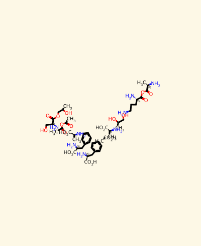 CC(=O)O.CC(=O)OC(C)=O.CC(O)CO.CC(O)COC(=O)[C@@H](N)CO.C[C@H](N)C(=O)O.C[C@H](N)C(=O)O.C[C@H](N)C(=O)OC(=O)[C@@H](N)CCCN.N[C@@H](Cc1ccccc1)C(=O)O.N[C@@H](Cc1ccccc1)C(=O)O